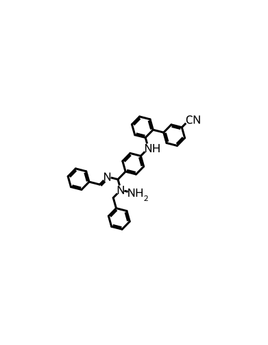 N#Cc1cccc(-c2ccccc2Nc2ccc(C(/N=C/c3ccccc3)N(N)Cc3ccccc3)cc2)c1